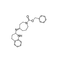 O=C(OCc1ccccc1)N1CCCC(=NC2CCc3ccccc3N2)CC1